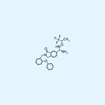 CC(ONC(N)c1ccc2c(c1)C(=O)N(Cc1ccccc1Oc1ccccc1)C2)C(F)(F)F